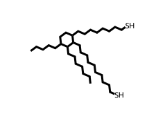 CCCCCCCC1C(CCCCC)CCC(CCCCCCCCS)C1CCCCCCCCCCS